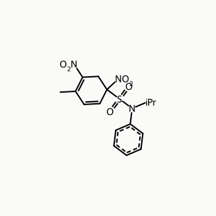 CC1=C([N+](=O)[O-])CC([N+](=O)[O-])(S(=O)(=O)N(c2ccccc2)C(C)C)C=C1